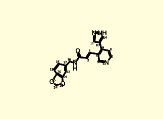 O=C(/C=C/c1cnccc1-c1cn[nH]c1)NCc1ccc2c(c1)OCO2